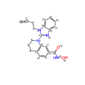 COCCn1c(N2CCCc3ccc(C(=O)NO)cc32)nc2ccccc21